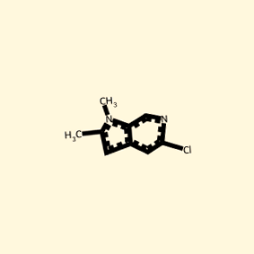 Cc1cc2cc(Cl)ncc2n1C